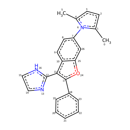 Cc1ccc(C)n1-c1ccc2c(-c3ncc[nH]3)c(-c3ccccc3)oc2c1